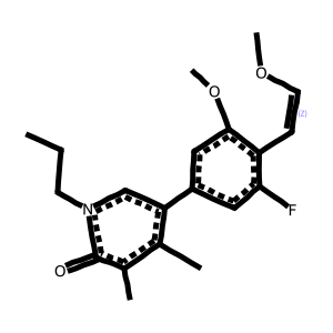 CCCn1cc(-c2cc(F)c(/C=C\OC)c(OC)c2)c(C)c(C)c1=O